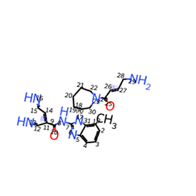 Cc1cccc2nc(NC(=O)/C(C=N)=C/C=N)n([C@@H]3CCCCN(C(=O)/C=C/CN)C3)c12